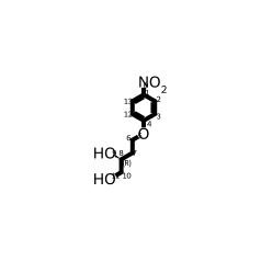 O=[N+]([O-])c1ccc(OCC[C@@H](O)CO)cc1